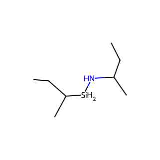 CCC(C)N[SiH2]C(C)CC